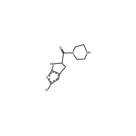 O=C(C1Cc2cc(Cl)sc2N1)N1CCNCC1